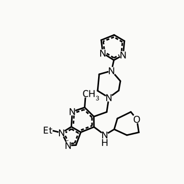 CCn1ncc2c(NC3CCOCC3)c(CN3CCN(c4ncccn4)CC3)c(C)nc21